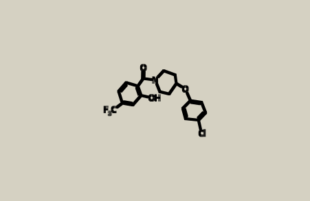 O=C(c1ccc(C(F)(F)F)cc1O)N1CCC(Oc2ccc(Cl)cc2)CC1